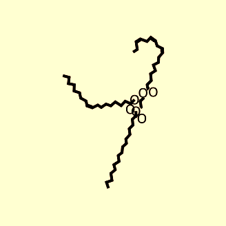 CC/C=C\C/C=C\C/C=C\CCCCCCCC(=O)OCC(COC(=O)CCCCCCCCCCCCCCCC)OC(=O)CCCCCCC/C=C\CCCCCCCC